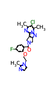 Cc1nc2c3c(nn2c(C)c1Cl)CN(C(=O)c1ccc(F)cc1OCCn1ccnc1C)C3